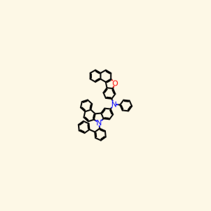 c1ccc(-c2ccccc2-n2c3ccc(N(c4ccccc4)c4ccc5c(c4)oc4ccc6ccccc6c45)cc3c3c4ccccc4ccc32)cc1